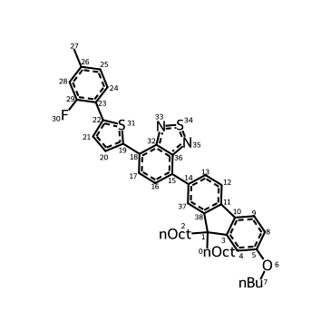 CCCCCCCCC1(CCCCCCCC)c2cc(OCCCC)ccc2-c2ccc(-c3ccc(-c4ccc(-c5ccc(C)cc5F)s4)c4nsnc34)cc21